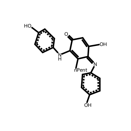 CCCCCC1=C(Nc2ccc(O)cc2)C(=O)C=C(O)/C1=N/c1ccc(O)cc1